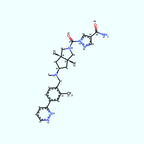 CN(Cc1ccc(-c2cccnn2)cc1C(F)(F)F)[C@H]1C[C@@H]2CN(C(=O)n3cc(C(N)=O)cn3)C[C@@H]2C1